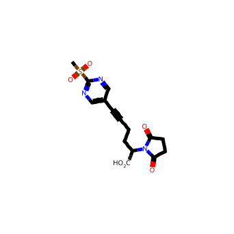 CS(=O)(=O)c1ncc(C#CCCC(C(=O)O)N2C(=O)CCC2=O)cn1